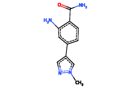 Cn1cc(-c2ccc(C(N)=O)c(N)c2)cn1